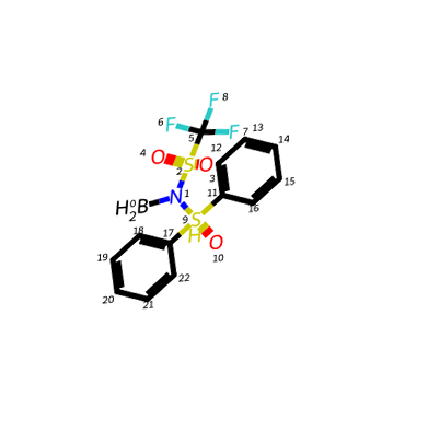 BN(S(=O)(=O)C(F)(F)F)[SH](=O)(c1ccccc1)c1ccccc1